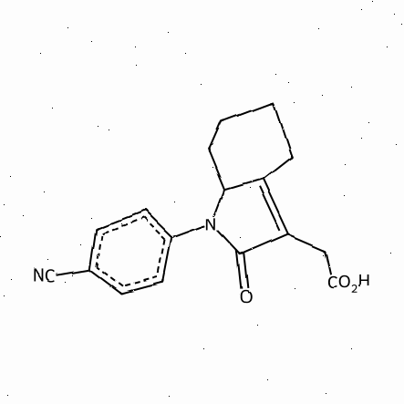 N#Cc1ccc(N2C(=O)C(CC(=O)O)=C3CCCCC32)cc1